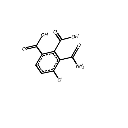 NC(=O)c1c(Cl)ccc(C(=O)O)c1C(=O)O